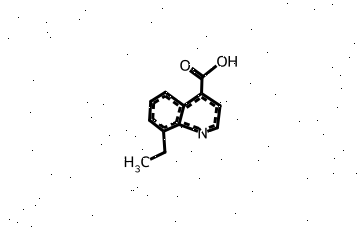 CCc1cccc2c(C(=O)O)ccnc12